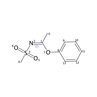 C/C(=N/S(C)(=O)=O)Oc1ccccc1